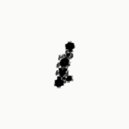 CC(C)(C)OC(=O)N(Cc1ccccc1)[C@H]1[C@@H]2CN(c3c(F)cc(NC(=O)OCc4ccccc4)cc3F)C[C@@H]21